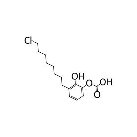 O=C(O)Oc1cccc(CCCCCCCCCl)c1O